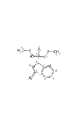 CCOP(=O)(OCC)C1OC(=O)c2ccccc21